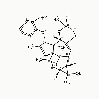 COc1cccnc1O[C@H]1C(C)=C[C@]23C(O)[C@@H](C=C4COC(C)(C)O[C@H]4[C@]12O)[C@H]1[C@@H](C[C@H]3C)C1(C)C